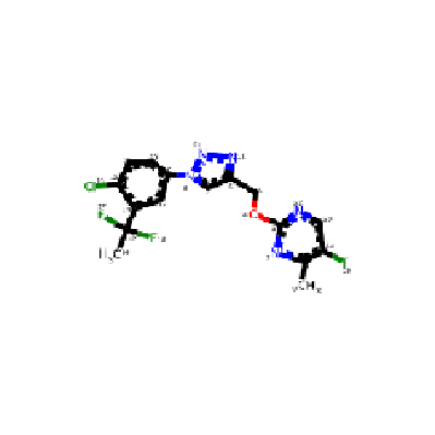 Cc1nc(OCc2cn(-c3ccc(Cl)c(C(C)(F)F)c3)nn2)ncc1F